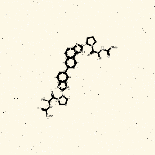 COC(=O)NC(C(=O)N1CCC[C@H]1c1nc2ccc3cc(-c4ccc5nc([C@@H]6CCCN6C(=O)[C@@H](NC(=O)OC)C(C)C)[nH]c5c4)ccc3c2[nH]1)C(C)C